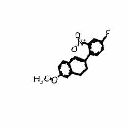 COc1ccc2c(c1)CCC(c1ccc(F)cc1[N+](=O)[O-])=C2